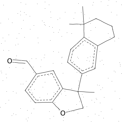 CC1(C)CCCc2cc(C3(C)COc4ccc(C=O)cc43)ccc21